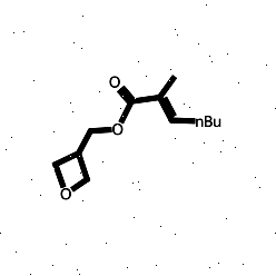 CCCCC=C(C)C(=O)OCC1COC1